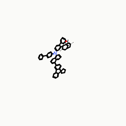 C[C@@H]1CC2C[C@@H](C1)[C@@]1(c3ccccc3-c3ccc(N(c4ccc(-c5ccccc5)cc4)c4cccc5c(-c6ccc7c(c6)-c6ccccc6C76CCCC6)cccc45)cc31)[C@@H](C)C2